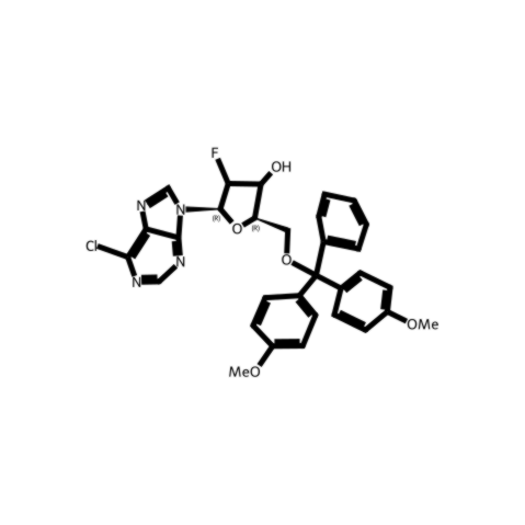 COc1ccc(C(OC[C@H]2O[C@@H](n3cnc4c(Cl)ncnc43)C(F)C2O)(c2ccccc2)c2ccc(OC)cc2)cc1